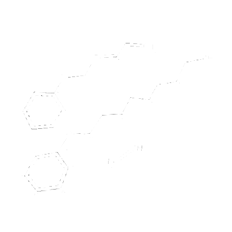 C=C.C=CC=CCOc1ccccc1.CCCCCCCCCOc1ccccc1